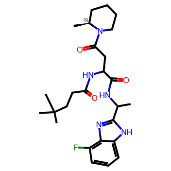 CC(NC(=O)C(CC(=O)N1CCCC[C@@H]1C)NC(=O)CCC(C)(C)C)c1nc2c(F)cccc2[nH]1